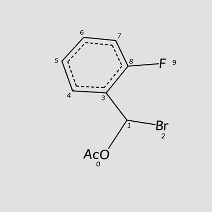 CC(=O)OC(Br)c1ccccc1F